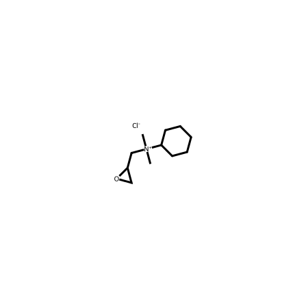 C[N+](C)(CC1CO1)C1CCCCC1.[Cl-]